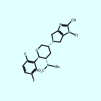 CCn1c(C#N)nc2c1CN([C@H]1CO[C@H](c3cc(F)ccc3F)[C@@H](N(C(=O)O)C(C)(C)C)C1)C2